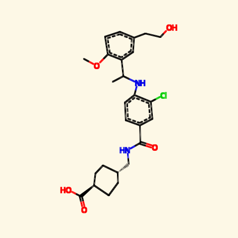 COc1ccc(CCO)cc1C(C)Nc1ccc(C(=O)NC[C@H]2CC[C@H](C(=O)O)CC2)cc1Cl